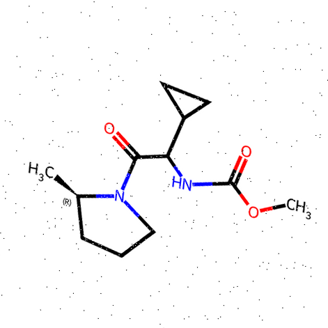 COC(=O)NC(C(=O)N1CCC[C@H]1C)C1CC1